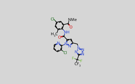 CNC(=O)c1cc(Cl)cc(C)c1NC(=O)c1cc(Cn2nnc(C(F)(F)C(F)(F)F)n2)nn1-c1ncccc1Cl